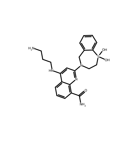 NCCCNc1cc(N2CCS(O)(O)c3ccccc3C2)nc2c(C(N)=O)cccc12